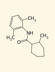 Cc1cccc(C)c1NC(=O)C1CCCCC1C